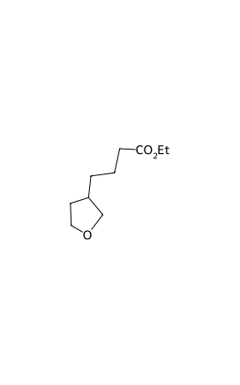 CCOC(=O)CCCC1CCOC1